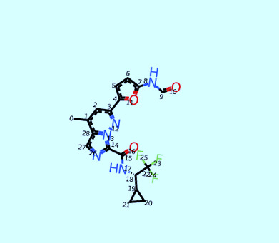 Cc1cc(-c2ccc(NC=O)o2)nn2c(C(=O)N[C@@H](C3CC3)C(F)(F)F)ncc12